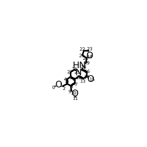 COCc1cc2c(cc1COC)-c1cc(=O)cc(NCC3CCCO3)n1CC2